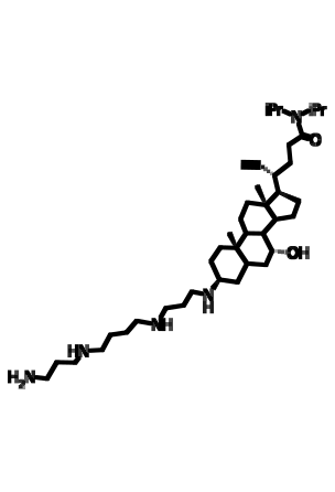 C#C[C@H](CCC(=O)N(C(C)C)C(C)C)[C@H]1CCC2C3C(CC[C@@]21C)[C@@]1(C)CC[C@H](NCCCNCCCCNCCCN)CC1C[C@H]3O